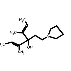 CC=C(C)C(O)(CCN1CCCC1)C(C)=CC